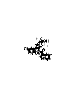 COc1ncc(Cl)cc1-c1nn(CC(C)(C)O)cc1NC(=O)c1cnn2cccnc12